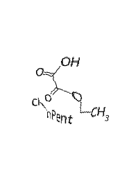 CCCCCCl.CCOC(=O)C(=O)O